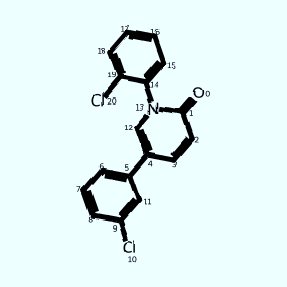 O=c1ccc(-c2cccc(Cl)c2)cn1-c1ccccc1Cl